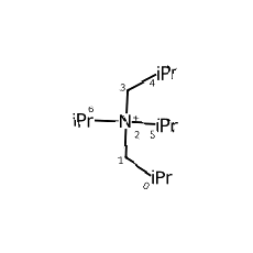 CC(C)C[N+](CC(C)C)(C(C)C)C(C)C